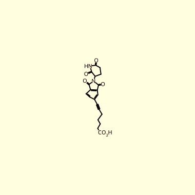 O=C(O)CCCCC#Cc1ccc2c(c1)C(=O)N(C1CCC(=O)NC1=O)C2=O